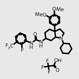 COc1ccc(C23CCC(NC(=O)Nc4cccc(C(F)(F)F)c4F)CC2N(C2CCCCC2)CC3)cc1OC.O=C(O)C(F)(F)F